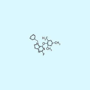 Cc1cc(C)c(Oc2nc(F)nc3ccn(Cc4ccccc4)c23)c(C)c1